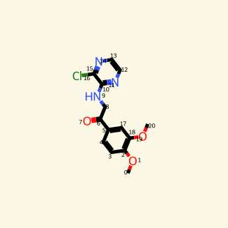 COc1ccc(C(=O)CNc2nccnc2Cl)cc1OC